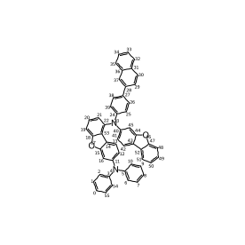 c1ccc(N(c2ccccc2)c2ccc3c(c2)oc2cccc(N(c4ccc(-c5ccc6ccccc6c5)cc4)c4ccc5c(c4)oc4ccccc45)c23)cc1